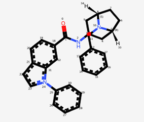 O=C(NC1C[C@H]2CC[C@@H](C1)N2Cc1ccccc1)c1ccc2ccn(-c3ccccc3)c2c1